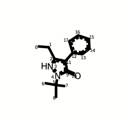 CCc1[nH]n(C(C)(C)C)c(=O)c1-c1ccccc1